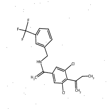 C=C(NCc1cccc(C(F)(F)F)c1)c1cc(Cl)c(C(=C)CC)c(Cl)c1